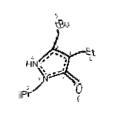 CCc1c(C(C)(C)C)[nH]n(C(C)C)c1=O